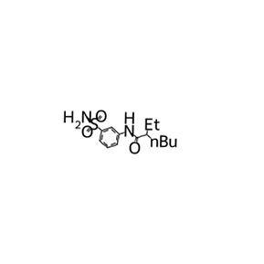 CCCCC(CC)C(=O)Nc1cccc(S(N)(=O)=O)c1